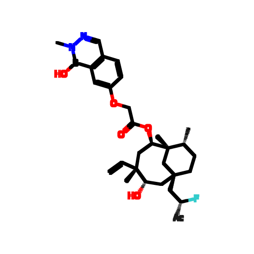 C=C[C@]1(C)C[C@@H](OC(=O)COc2ccc3c(c2)B(O)N(C)N=C3)[C@@]2(C)C[C@](C[C@H](F)C(C)=O)(CC[C@H]2C)C[C@@H]1O